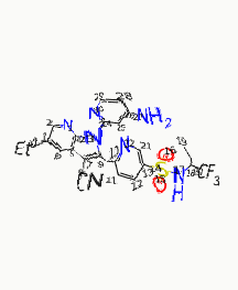 CCc1cnc2c(c1)c(C#N)c(-c1ccc(S(=O)(=O)NC(C)C(F)(F)F)cn1)n2-c1cc(N)ccn1